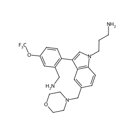 NCCCn1cc(-c2ccc(OC(F)(F)F)cc2CN)c2cc(CN3CCOCC3)ccc21